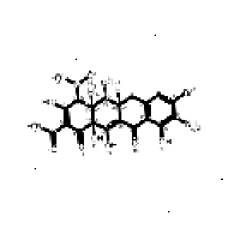 CN(C)[C@@H]1C(O)=C(C(N)=O)C(=O)[C@@]2(O)C(O)=C3C(=O)c4c(cc(Br)c(N)c4O)C[C@H]3[C@H](O)[C@@H]12